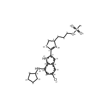 CS(=O)(=O)OCCCC1CSC(c2cc3cc(Cl)cc(NC4CCCC4)c3[nH]2)=N1